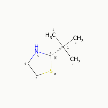 CC(C)(C)[C@H]1NCCS1